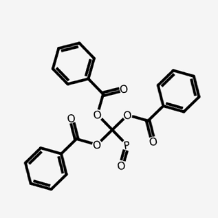 O=PC(OC(=O)c1ccccc1)(OC(=O)c1ccccc1)OC(=O)c1ccccc1